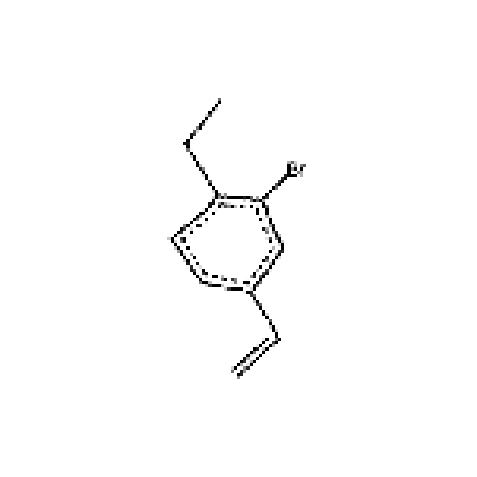 C=Cc1ccc(CC)c(Br)c1